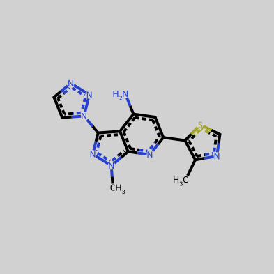 Cc1ncsc1-c1cc(N)c2c(-n3ccnn3)nn(C)c2n1